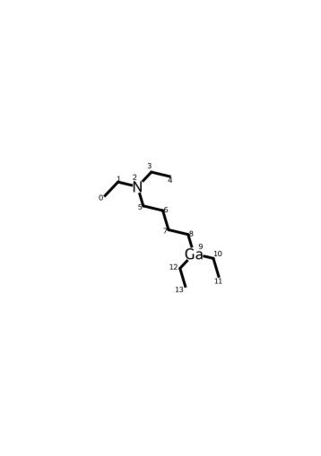 CCN(CC)CCC[CH2][Ga]([CH2]C)[CH2]C